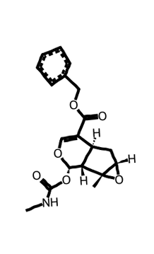 CNC(=O)O[C@@H]1OC=C(C(=O)OCc2ccccc2)[C@H]2C[C@@H]3O[C@]3(C)[C@H]12